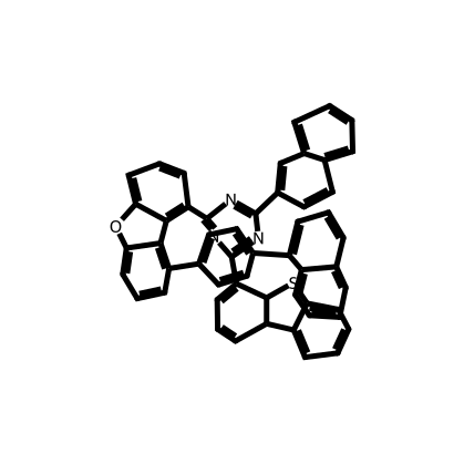 C1=CC2c3ccccc3SC2C(c2nc(-c3ccc4ccccc4c3)nc(-c3cccc4oc5cccc(-c6ccc(-c7cccc8ccccc78)cc6)c5c34)n2)=C1